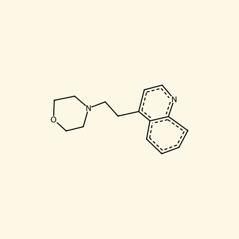 c1ccc2c(CCN3CCOCC3)ccnc2c1